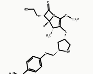 C[C@H]1C(S[C@@H]2CN[C@H](CSc3ccc(CN)cc3)C2)=C(OC(=O)O)N2C(=O)[C@@H](CCO)[C@@H]12